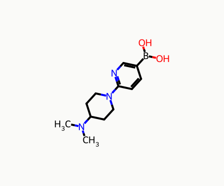 CN(C)C1CCN(c2ccc(B(O)O)cn2)CC1